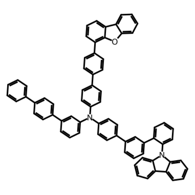 c1ccc(-c2ccc(-c3cccc(N(c4ccc(-c5ccc(-c6cccc7c6oc6ccccc67)cc5)cc4)c4ccc(-c5cccc(-c6ccccc6-n6c7ccccc7c7ccccc76)c5)cc4)c3)cc2)cc1